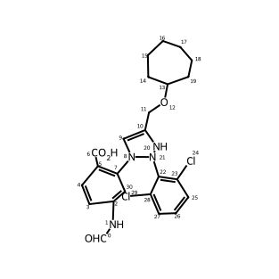 O=CNc1ccc(C(=O)O)c(N2C=C(COC3CCCCCC3)NN2c2c(Cl)cccc2Cl)c1